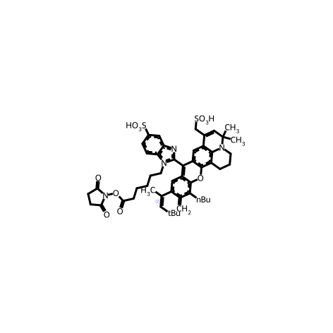 C=c1c(/C(C)=C\C(C)(C)C)cc2c(c1CCCC)Oc1c(cc3c4c1CCCN4C(C)(C)C=C3CS(=O)(=O)O)C=2c1nc2cc(S(=O)(=O)O)ccc2n1CCCCCC(=O)ON1C(=O)CCC1=O